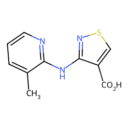 Cc1cccnc1Nc1nscc1C(=O)O